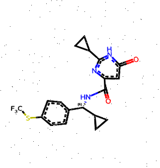 O=C(N[C@@H](c1ccc(SC(F)(F)F)cc1)C1CC1)c1cc(=O)[nH]c(C2CC2)n1